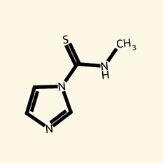 CNC(=S)n1ccnc1